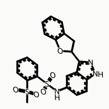 CS(=O)(=O)c1ccccc1S(=O)(=O)Nc1ccc2[nH]nc(C3Cc4ccccc4O3)c2c1